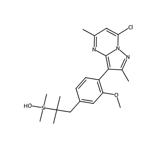 COc1cc(CC(C)(C)[Si](C)(C)O)ccc1-c1c(C)nn2c(Cl)cc(C)nc12